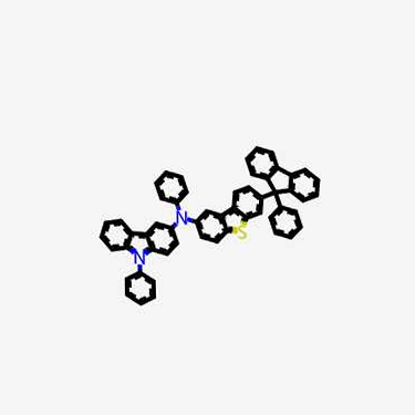 c1ccc(N(c2ccc3sc4cc(C5(c6ccccc6)c6ccccc6-c6ccccc65)ccc4c3c2)c2ccc3c(c2)c2ccccc2n3-c2ccccc2)cc1